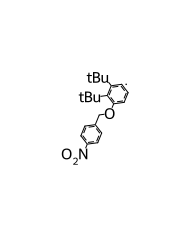 CC(C)(C)c1[c]ccc(OCc2ccc([N+](=O)[O-])cc2)c1C(C)(C)C